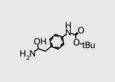 CC(C)(C)OC(=O)Nc1ccc(CC(N)O)cc1